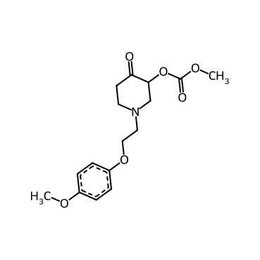 COC(=O)OC1CN(CCOc2ccc(OC)cc2)CCC1=O